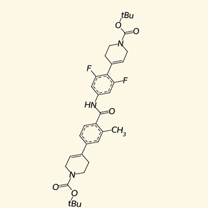 Cc1cc(C2=CCN(C(=O)OC(C)(C)C)CC2)ccc1C(=O)Nc1cc(F)c(C2=CCN(C(=O)OC(C)(C)C)CC2)c(F)c1